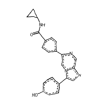 O=C(NC1CC1)c1ccc(-c2cn3c(-c4ccc(O)cc4)cnc3cn2)cc1